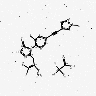 Cc1cc(C#Cc2cnn(C)c2)cnc1-n1c(CC(CN)=C(F)F)n[nH]c1=O.O=C(O)C(F)(F)F